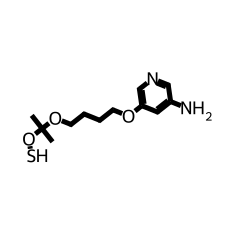 CC(C)(OS)OCCCCOc1cncc(N)c1